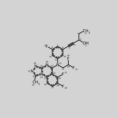 CCC(O)C#Cc1cc(F)cc(N(CC(F)F)c2nc3nnc(C)n3c3ccc(F)c(F)c23)c1